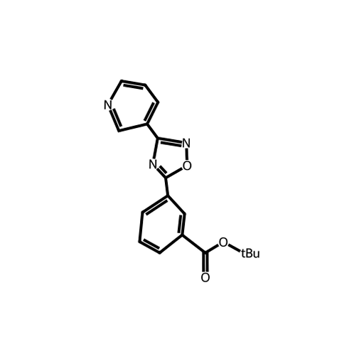 CC(C)(C)OC(=O)c1cccc(-c2nc(-c3cccnc3)no2)c1